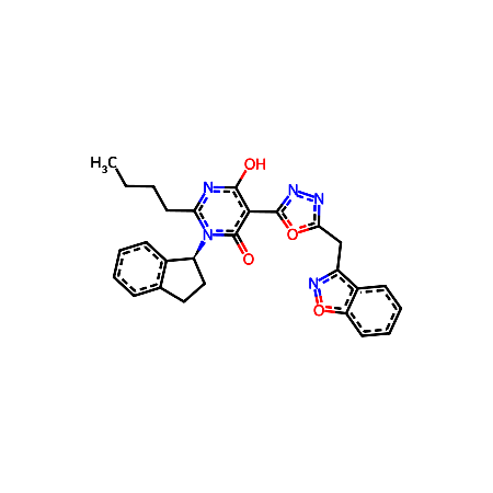 CCCCc1nc(O)c(-c2nnc(Cc3noc4ccccc34)o2)c(=O)n1[C@H]1CCc2ccccc21